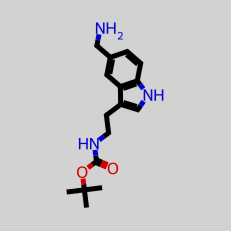 CC(C)(C)OC(=O)NCCc1c[nH]c2ccc(CN)cc12